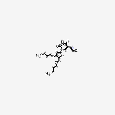 CCCCOCC1SC(n2cc(/C=C/Cl)c(=O)[nH]c2=O)=CC1OCCCC